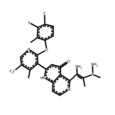 C/C(=C(/N)c1nccc2[nH]c(-c3c(Oc4ccc(F)c(F)c4C)ncc(C(F)(F)F)c3C)cc(=O)c12)N(C)N